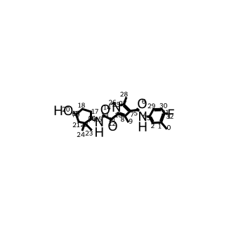 Cc1cc(NC(=O)c2c(C)c(C(=O)C(=O)N[C@@H]3CC[C@H](O)CC3(C)C)n(C)c2C)ccc1F